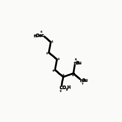 CCCCCCCCCCCCCCC([C](CCCC)CCCC)C(=O)O